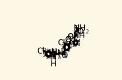 C[C@@H](NC(=O)c1ccc(C(=O)N2CCC[C@H]2C(=O)NCC(N)=O)c(Cl)c1)c1nc2cc(Cl)ccc2[nH]1